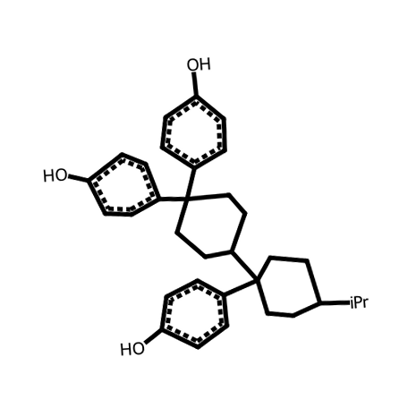 CC(C)C1CCC(c2ccc(O)cc2)(C2CCC(c3ccc(O)cc3)(c3ccc(O)cc3)CC2)CC1